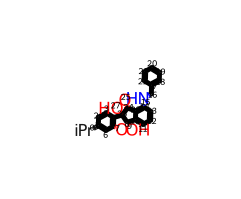 CC(C)c1ccc2c(c1)OC1(O)c3cccc(NCc4ccccc4)c3C(=O)C21O